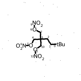 CC(C)(C)CCC(CO[N+](=O)[O-])(CO[N+](=O)[O-])CO[N+](=O)[O-]